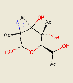 CC(=O)C(O)[C@H]1O[C@H](O)[C@@](N)(C(C)=O)[C@](O)(C(C)=O)[C@@]1(O)C(C)=O